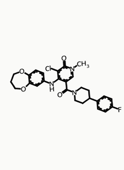 Cn1cc(C(=O)N2CCC(c3ccc(F)cc3)CC2)c(Nc2ccc3c(c2)OCCCO3)c(Cl)c1=O